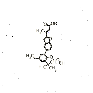 CCc1cc(-c2ccc3oc(/C(C)=C/C(=O)O)cc3c2)c(OCOC)c(C(C)(C)C)c1